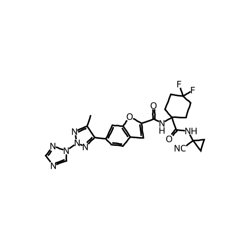 Cc1nn(-n2cncn2)nc1-c1ccc2cc(C(=O)NC3(C(=O)NC4(C#N)CC4)CCC(F)(F)CC3)oc2c1